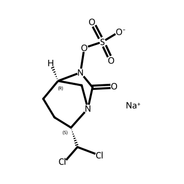 O=C1N2C[C@@H](CC[C@H]2C(Cl)Cl)N1OS(=O)(=O)[O-].[Na+]